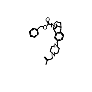 C=C(C)CN1CCN(c2ccc3c(c2)C2=C(C)C3CCN2C(=O)OCc2ccccc2)CC1